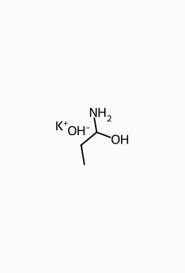 CCC(N)O.[K+].[OH-]